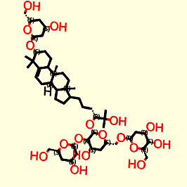 CC(C)(O)[C@@H](CCCC1CCC2[C@@H]3CC=C4C(CC[C@H](O[C@H]5C[C@@H](O)C[C@@H](CO)O5)C4(C)C)[C@]3(C)CC[C@]12C)O[C@@H]1O[C@H](CO[C@H]2C[C@@H](O)[C@H](O)[C@@H](CO)O2)C[C@H](O)[C@H]1O[C@H]1C[C@@H](O)C[C@@H](CO)O1